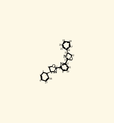 C1=CCC([C@H]2COC(c3cccc(C4=N[C@@H](c5ccccc5)CO4)n3)=N2)C=C1